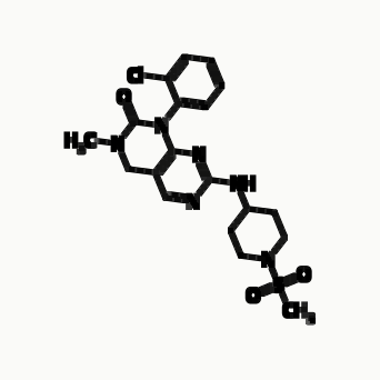 CN1Cc2cnc(NC3CCN(S(C)(=O)=O)CC3)nc2N(c2ccccc2Cl)C1=O